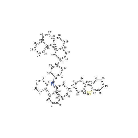 c1ccc(-c2ccccc2N(c2ccc(-c3ccc4ccc5ccc6ccccc6c5c4c3)cc2)c2cccc(-c3ccc4c(c3)sc3ccccc34)c2)cc1